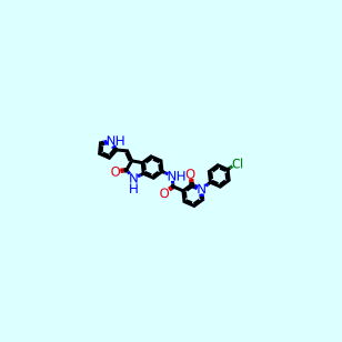 O=C1Nc2cc(NC(=O)c3cccn(-c4ccc(Cl)cc4)c3=O)ccc2C1=Cc1ccc[nH]1